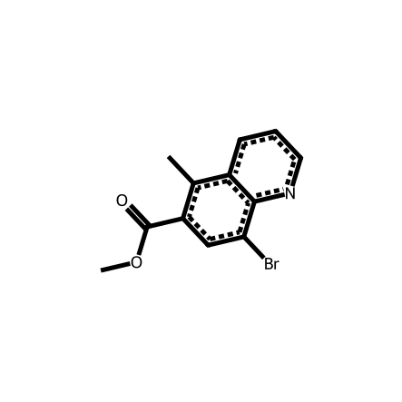 COC(=O)c1cc(Br)c2ncccc2c1C